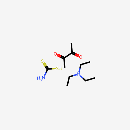 CC(=O)C(C)=O.CCN(CC)CC.NC(=S)S